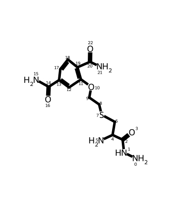 NNC(=O)C(N)CSCCOc1cc(C(N)=O)ccc1C(N)=O